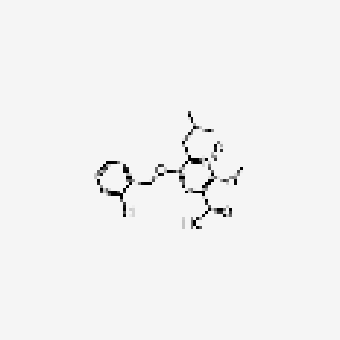 COc1c(C(=O)O)nc(OCc2ccccc2Cl)c(CC(C)C)[n+]1[O-]